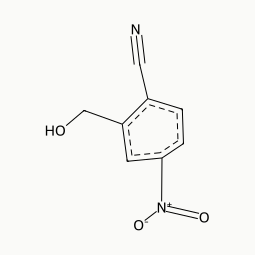 N#Cc1ccc([N+](=O)[O-])cc1CO